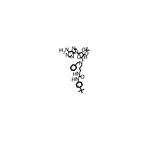 CC1(C)OC2[C@H](n3cnc4c(N)ncnc43)O[C@H](CN(CCCNC(=O)Nc3ccc(C(C)(C)C)cc3)Cc3ccccc3)[C@H]2O1